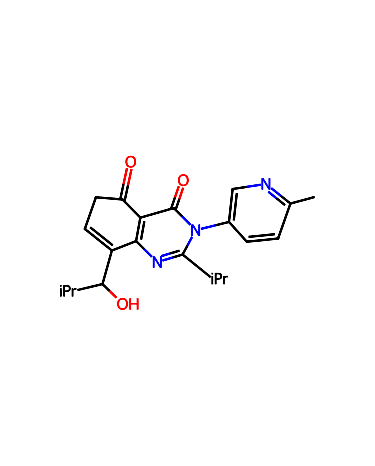 Cc1ccc(-n2c(C(C)C)nc3c(c2=O)C(=O)CC=C3C(O)C(C)C)cn1